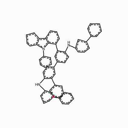 c1ccc(-c2cccc(Nc3ccc(-c4ccc(Nc5cccc(-c6ccccc6)c5)c(-c5cccc6c7ccccc7n(-c7ccccc7)c56)c4)cc3-c3ccccc3)c2)cc1